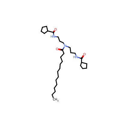 CCCCCCCCCCCCCC(=O)N(CCCNC(=O)C1CCCC1)CCCNC(=O)C1CCCC1